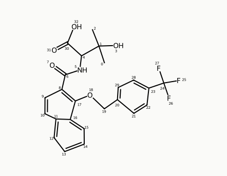 CC(C)(O)C(NC(=O)c1ccc2ccccc2c1OCc1ccc(C(F)(F)F)cc1)C(=O)O